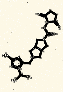 Cc1cc(CN2CC3CN(C(=O)ON4C(=O)CCC4=O)CC3C2)n(C(C)C)n1